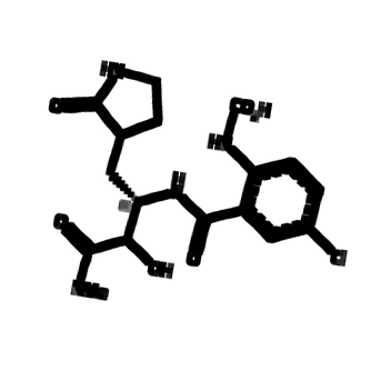 CNC(=O)C(O)[C@H](CC1CCNC1=O)NC(=O)c1cc(Cl)ccc1NC(=O)O